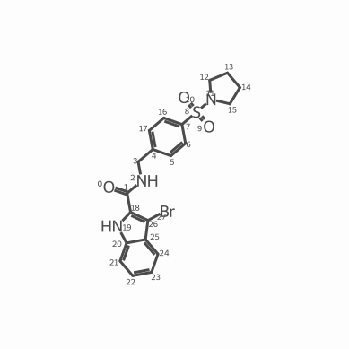 O=C(NCc1ccc(S(=O)(=O)N2CCCC2)cc1)c1[nH]c2ccccc2c1Br